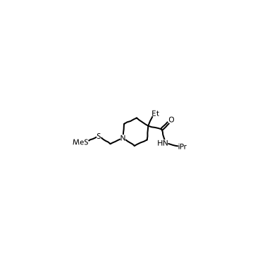 CCC1(C(=O)NC(C)C)CCN(CSSC)CC1